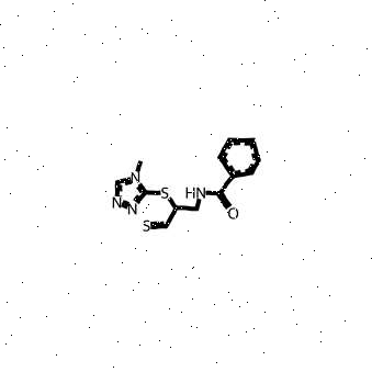 Cn1cnnc1SC(C=S)CNC(=O)c1ccccc1